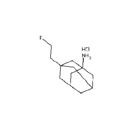 Cl.NC12CC3CC(C1)CC(CCF)(C3)C2